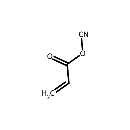 C=CC(=O)OC#N